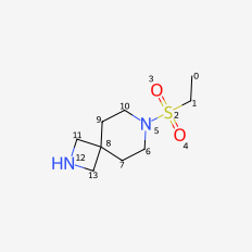 CCS(=O)(=O)N1CCC2(CC1)CNC2